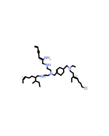 C=CC#C/C=C(\N)CNCCN(CCNCC(CC/C=C\C)C(C)CC)CC1=CCC(CN(CC)CC/C(=C/CCCCl)CC)CC1